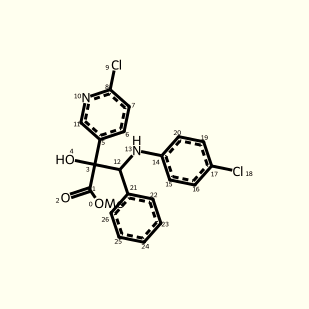 COC(=O)C(O)(c1ccc(Cl)nc1)C(Nc1ccc(Cl)cc1)c1ccccc1